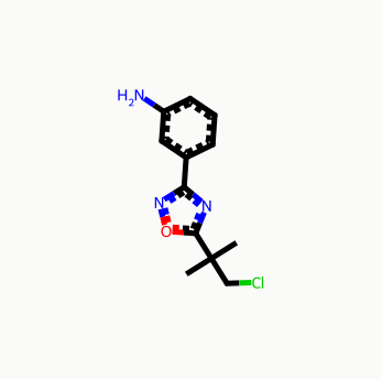 CC(C)(CCl)c1nc(-c2cccc(N)c2)no1